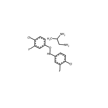 CC(N)CN.Fc1cc(BOc2ccc(Cl)c(F)c2)ccc1Cl